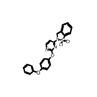 O=S1(=O)c2ccccc2CN1c1ccnc(Oc2ccc(Oc3ccccc3)cc2)n1